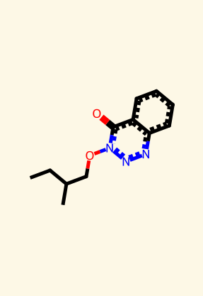 CCC(C)COn1nnc2ccccc2c1=O